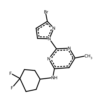 Cc1cc(NC2CCC(F)(F)CC2)nc(-n2ccc(Br)n2)n1